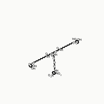 O=C(CCOCC(COCCC(=O)NCCCCCCCCCCCOC[C@H]1OCC[C@@H](O)[C@H]1O)NC(=O)COCCOCCOCCNc1ccc([N+](=O)[O-])cc1[N+](=O)[O-])NCCCCCCCCCCCOC[C@H]1OCC[C@@H](O)[C@H]1O